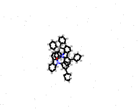 c1ccc(-c2cccc(-n3c4ccccc4c4cccc(-n5c6cccc(-c7ccccc7)c6c6cccc([Si](c7ccccc7)(c7ccccc7)c7ccccc7)c65)c43)c2)cc1